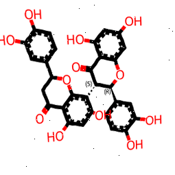 O=C1CC(c2ccc(O)c(O)c2)Oc2c1c(O)cc(O)c2[C@@H]1C(=O)c2c(O)cc(O)cc2O[C@H]1c1ccc(O)c(O)c1